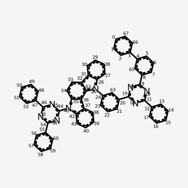 c1ccc(-c2cccc(-c3nc(-c4ccccc4)nc(-c4cccc(-n5c6ccccc6c6ccc7c(c8ccccc8n7-c7nc(-c8ccccc8)nc(-c8ccccc8)n7)c65)c4)n3)c2)cc1